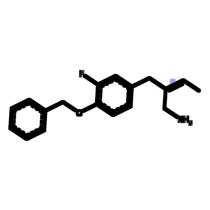 C/C=C(\CN)Cc1ccc(OCc2ccccc2)c(F)c1